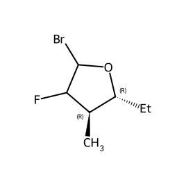 CC[C@H]1OC(Br)C(F)[C@@H]1C